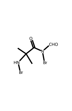 CC(C)(NBr)C(=O)N(Br)C=O